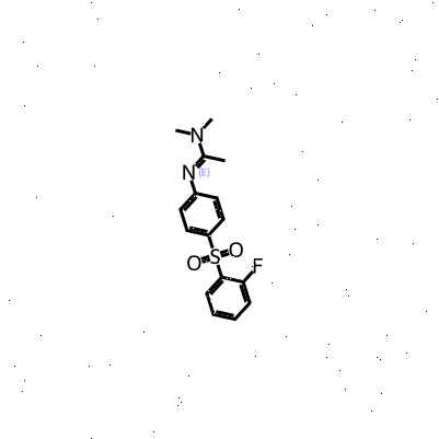 C/C(=N\c1ccc(S(=O)(=O)c2ccccc2F)cc1)N(C)C